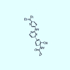 CCN(CC)c1ccc(Nc2nccc(-c3ccc(NC(=O)C4CC4)c(C#N)c3)n2)cn1